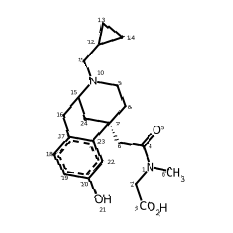 CN(CC(=O)O)C(=O)C[C@]12CCN(CC3CC3)C(Cc3ccc(O)cc31)C2